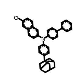 Clc1ccc2cc(N(c3ccc(-c4ccccc4)cc3)c3ccc(C45CC6CC(CC(C6)C4)C5)cc3)ccc2c1